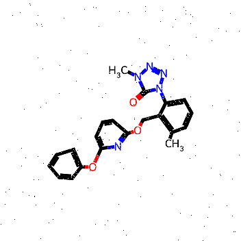 Cc1cccc(-n2nnn(C)c2=O)c1COc1cccc(Oc2ccccc2)n1